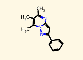 Cc1nc2cc(-c3ccccc3)nn2c(C)c1C